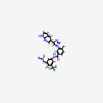 Cc1ccc(C(=O)Nc2cc(CN(C)C)c(F)c(C(F)(F)F)c2)cc1-n1cc(-c2cnc3[nH]ccc3c2)nn1